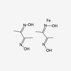 CC(=NO)C(C)=NO.CC(=NO)C(C)=NO.[Fe]